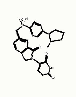 C[C@@H]1CCCN1c1ccc(N(Cc2ccc3c(c2)C(=O)N(C2CCC(=O)NC2=O)C3)C(=O)O)nc1